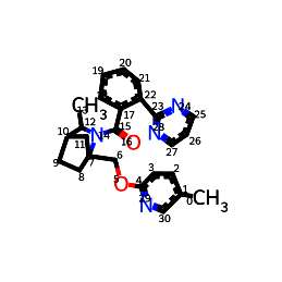 Cc1ccc(OCC23CCC(C2)C(C)N3C(=O)c2ccccc2-c2ncccn2)nc1